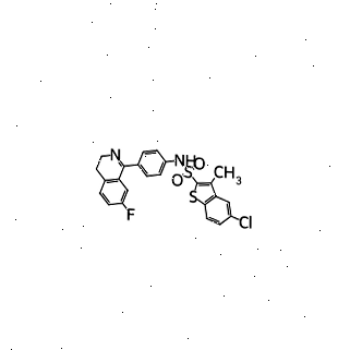 Cc1c(S(=O)(=O)Nc2ccc(C3=NCCc4ccc(F)cc43)cc2)sc2ccc(Cl)cc12